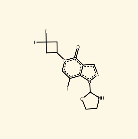 O=c1c2cnn(C3NCCO3)c2c(I)cn1C1CC(F)(F)C1